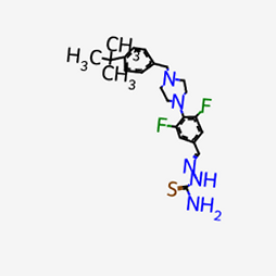 CC(C)(C)c1ccc(CN2CCN(c3c(F)cc(C=NNC(N)=S)cc3F)CC2)cc1